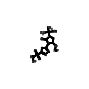 CCCOC1CN(C(C)(C)CCC)C(=O)N1c1nnc(S(=O)(=O)NC(C)C)s1